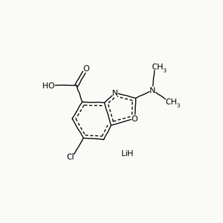 CN(C)c1nc2c(C(=O)O)cc(Cl)cc2o1.[LiH]